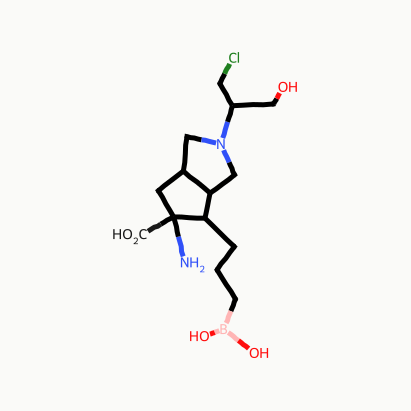 NC1(C(=O)O)CC2CN(C(CO)CCl)CC2C1CCCB(O)O